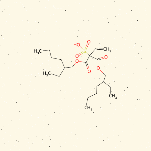 C=CC(C(=O)OCC(CC)CCCC)(C(=O)OCC(CC)CCCC)S(=O)(=O)O